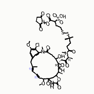 COc1cc2cc(c1Cl)N(C)C(=O)CC(O)[C@@]1(CC(=O)[C@H](C)N(C)C(=O)CCC(C)(C)SSCCC(C(=O)ON3C(=O)CCC3=O)S(=O)(=O)O)O[C@@H]1C(C)C1CC(O)(NC(=O)O1)C(OC)/C=C/C=C(\C)C2